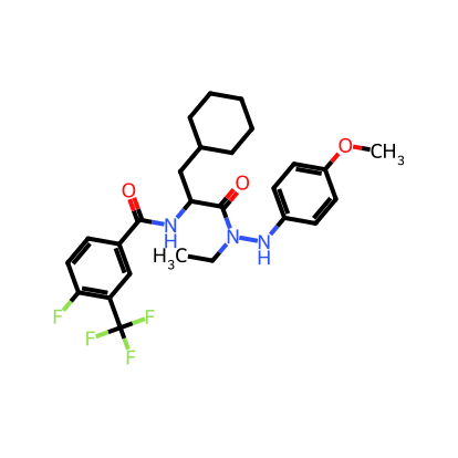 CCN(Nc1ccc(OC)cc1)C(=O)C(CC1CCCCC1)NC(=O)c1ccc(F)c(C(F)(F)F)c1